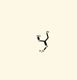 CC(C)C/C(N=N)=N/N